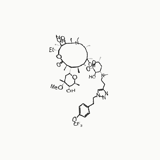 CC[C@H]1OC(=O)[C@H](C)[C@@H](C2C[C@@](C)(OC)[C@@H](O)[C@H](C)O2)[C@H](C)[C@@H](O[C@@H]2O[C@H](C)C[C@H](N(C)CCc3cn(CCc4ccc(OC(F)(F)F)cc4)nn3)[C@H]2O)[C@](C)(O)C[C@@H](C)CN(C)[C@H](C)[C@@H](O)[C@]1(C)O